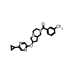 O=C(c1cccc(C(F)(F)F)c1)N1CCN2CC(Oc3cnc(C4CC4)cn3)CC2C1